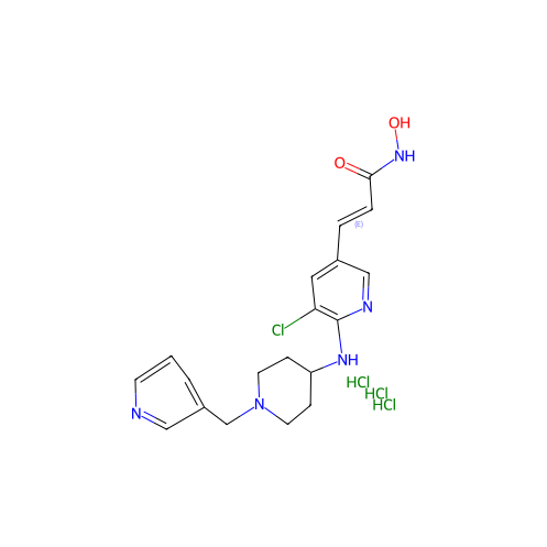 Cl.Cl.Cl.O=C(/C=C/c1cnc(NC2CCN(Cc3cccnc3)CC2)c(Cl)c1)NO